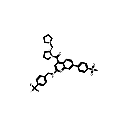 CS(=O)(=O)c1ccc(-c2ccc3c(C(=O)N4CCC[C@H]4CN4CCCC4)cc(NCc4ccc(C(F)(F)F)cc4)nc3c2)cc1